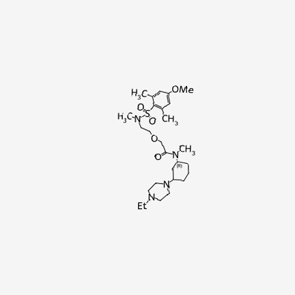 CCN1CCN(C2CCC[C@@H](N(C)C(=O)COCCN(C)S(=O)(=O)c3c(C)cc(OC)cc3C)C2)CC1